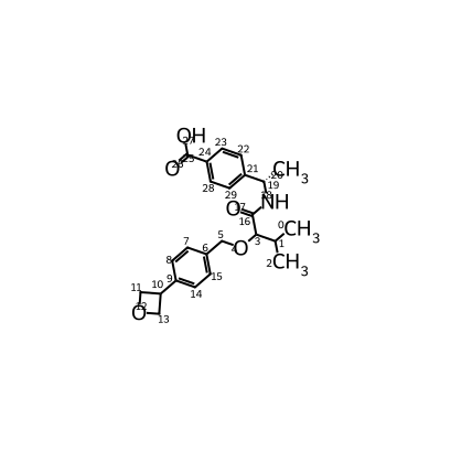 CC(C)C(OCc1ccc(C2COC2)cc1)C(=O)N[C@@H](C)c1ccc(C(=O)O)cc1